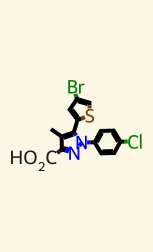 Cc1c(C(=O)O)nn(-c2ccc(Cl)cc2)c1-c1cc(Br)cs1